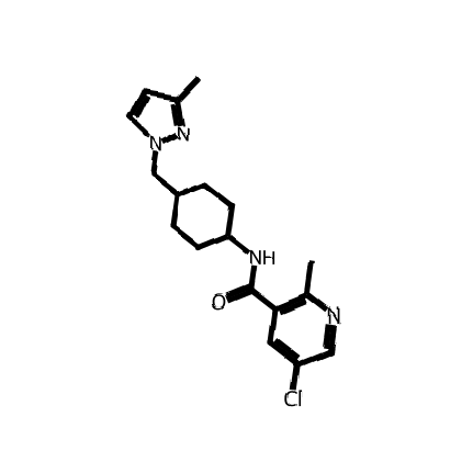 Cc1ccn(CC2CCC(NC(=O)c3cc(Cl)cnc3C)CC2)n1